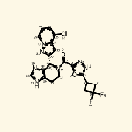 O=C(c1nnc(C2CC(F)(F)C2)o1)N1CCc2[nH]cnc2[C@@H]1c1cc2c(Cl)cccn2n1